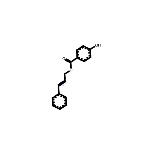 O=C(OC/C=C/c1ccccc1)c1ccc(O)cc1